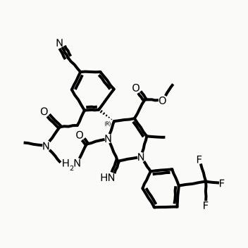 COC(=O)C1=C(C)N(c2cccc(C(F)(F)F)c2)C(=N)N(C(N)=O)[C@@H]1c1ccc(C#N)cc1CC(=O)N(C)C